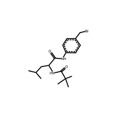 CC(C)CC(NC(=O)C(C)(C)C)C(=O)Nc1ccc(CBr)cc1